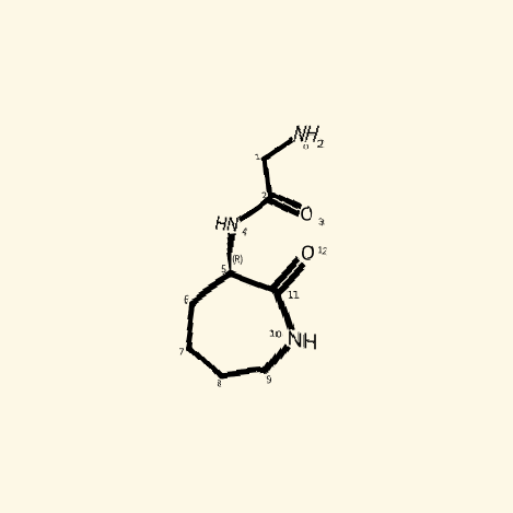 NCC(=O)N[C@@H]1CCCCNC1=O